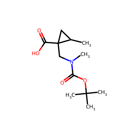 CC1CC1(CN(C)C(=O)OC(C)(C)C)C(=O)O